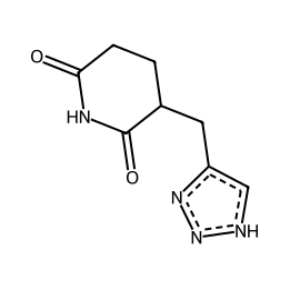 O=C1CCC(Cc2c[nH]nn2)C(=O)N1